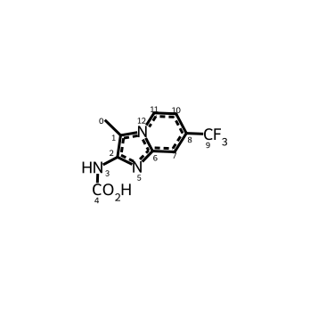 Cc1c(NC(=O)O)nc2cc(C(F)(F)F)ccn12